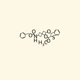 COC(=O)C1Sc2ccccc2C1OC1CC2(CC(NC(=O)OCc3ccccc3)C2)C1